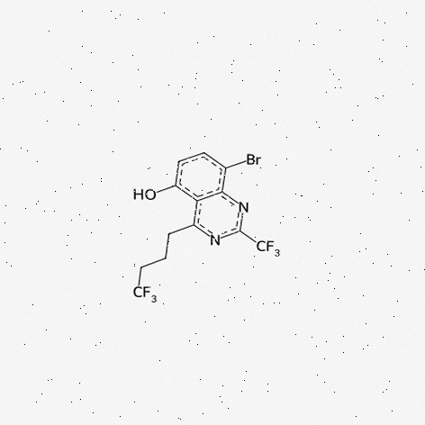 Oc1ccc(Br)c2nc(C(F)(F)F)nc(CCCC(F)(F)F)c12